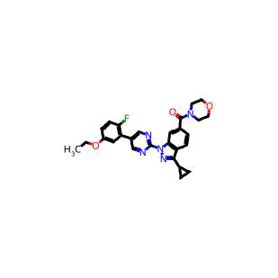 CCOc1ccc(F)c(-c2cnc(-n3nc(C4CC4)c4ccc(C(=O)N5CCOCC5)cc43)nc2)c1